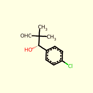 CC(C)(C=O)[C@@H](O)c1ccc(Cl)cc1